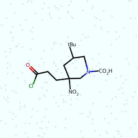 CC(C)(C)C1CN(C(=O)O)CC(CCC(=O)Cl)([N+](=O)[O-])C1